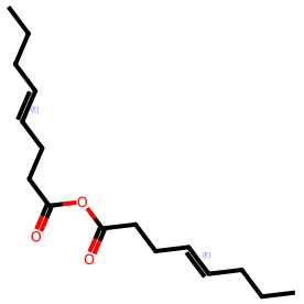 CCC/C=C/CCC(=O)OC(=O)CC/C=C/CCC